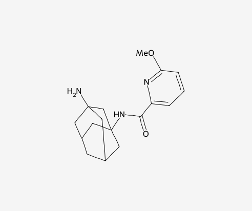 COc1cccc(C(=O)NC23CC4CC(CC(N)(C4)C2)C3)n1